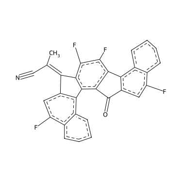 C/C(C#N)=C1/c2cc(F)c3ccccc3c2-c2c3c(c(F)c(F)c21)-c1c(cc(F)c2ccccc12)C3=O